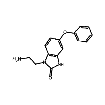 NCCn1c(=O)[nH]c2cc(Oc3ccccc3)ccc21